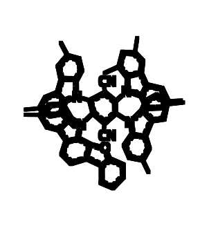 Cc1ccc2c(c1)c1cc(C)cc(C)c1n2-c1c(C#N)c(-n2c3ccc(C)cc3c3cc(C)cc(C)c32)c(-n2c3ccc(C)cc3c3ccc4c5ccccc5oc4c32)c(C#N)c1-n1c2ccc(C)cc2c2cc(C)cc(C)c21